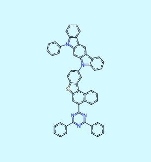 c1ccc(-c2nc(-c3ccccc3)nc(-c3cc4sc5ccc(-n6c7ccccc7c7cc8c9ccccc9n(-c9ccccc9)c8cc76)cc5c4c4ccccc34)n2)cc1